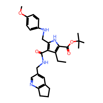 CCc1c(C(=O)OC(C)(C)C)[nH]c(CNc2ccc(OC)cc2)c1C(=O)NCc1cnc2c(c1)CCC2